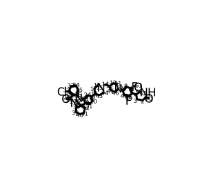 O=C1CCC(c2c(F)cc(N3CCC(CN4CCC(c5ccc6c(c5)-n5c(nc(=O)c7c(Cl)cccc75)C65CCCCC5)CC4)CC3)cc2F)C(=O)N1